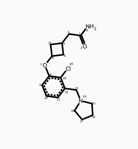 NC(=O)CC1CC(Oc2cccc(CN3CCCC3)c2Cl)C1